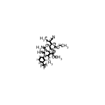 C=C/C(C#N)=C\C=C(/NC(=O)OCC)[C@@H]1C(C(=O)OC)=C(C)N(c2cccc(C(F)(F)F)c2)C(=N)N1C(N)=O